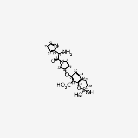 NC(C(=O)N1CC[C@@H](Oc2ccc3c(c2C(=O)O)O[B-](O)(O)CC3)C1)C1=CCC=N1